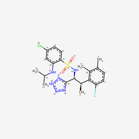 Cc1ccc(F)c([C@@H](C)[C@H](NS(=O)(=O)c2ccc(Cl)cc2NC(C)C)c2nn[nH]n2)c1C